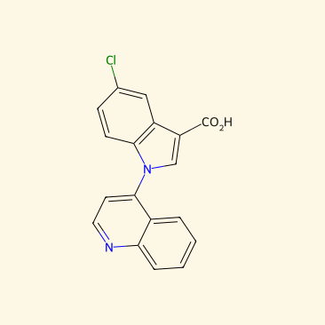 O=C(O)c1cn(-c2ccnc3ccccc23)c2ccc(Cl)cc12